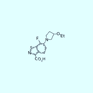 CCOC1CCN(c2ccc3c(C(=O)O)nsc3c2F)C1